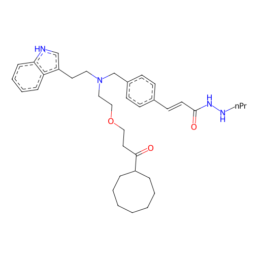 CCCNNC(=O)/C=C/c1ccc(CN(CCOCCC(=O)C2CCCCCCC2)CCc2c[nH]c3ccccc23)cc1